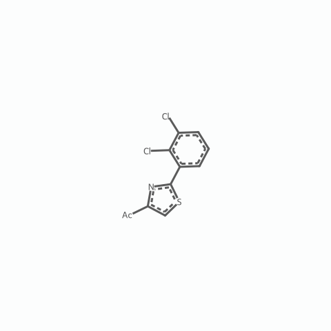 CC(=O)c1csc(-c2cccc(Cl)c2Cl)n1